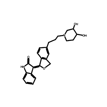 O=C1Nc2ccccc2C1=C1OCc2cc(CCCN3CCC(O)C(O)C3)ccc21